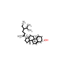 CCC(CCC(C)[C@H]1CC[C@H]2[C@@H]3CC=C4C[C@@H](O)CC[C@]4(C)C3CC[C@]12C)C(C)C